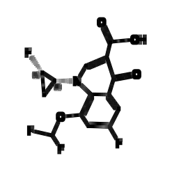 O=C(O)c1cn([C@@H]2C[C@@H]2F)c2c(OC(F)F)cc(F)cc2c1=O